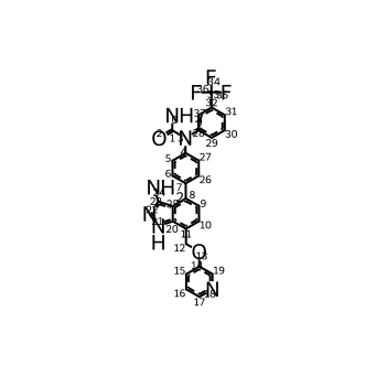 NC(=O)N(c1ccc(-c2ccc(COc3cccnc3)c3[nH]nc(N)c23)cc1)c1cccc(C(F)(F)F)c1